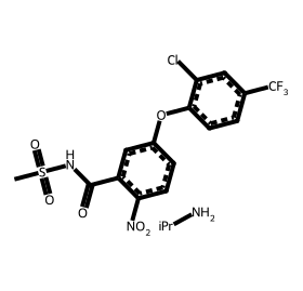 CC(C)N.CS(=O)(=O)NC(=O)c1cc(Oc2ccc(C(F)(F)F)cc2Cl)ccc1[N+](=O)[O-]